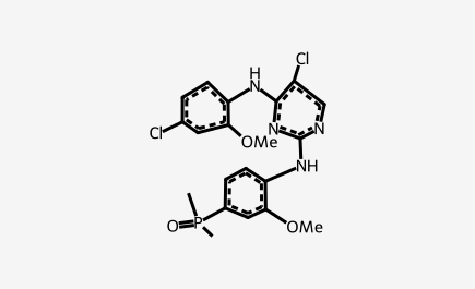 COc1cc(P(C)(C)=O)ccc1Nc1ncc(Cl)c(Nc2ccc(Cl)cc2OC)n1